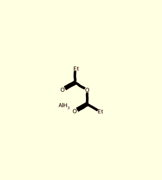 CCC(=O)OC(=O)CC.[AlH3]